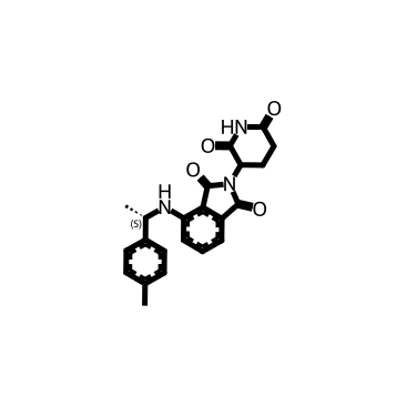 Cc1ccc([C@H](C)Nc2cccc3c2C(=O)N(C2CCC(=O)NC2=O)C3=O)cc1